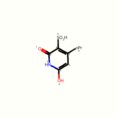 CCCc1cc(O)[nH]c(=O)c1S(=O)(=O)O